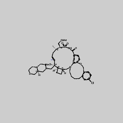 COC[C@@H]1[C@@H](C)C/C=C/[C@@](CN2CCN3CCOC[C@@H]3C2)(OC)[C@@H]2CC[C@H]2CN2CCCCc3cc(Cl)ccc3COc3ccc(cc32)C(=O)NS1(=O)=O